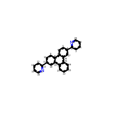 c1ccc(-c2ccc3c4ccc(-c5ccccn5)cc4c4ccccc4c3c2)nc1